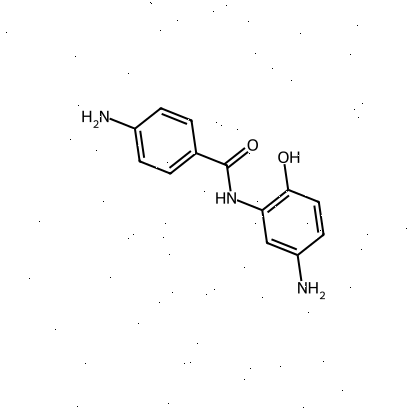 Nc1ccc(C(=O)Nc2cc(N)ccc2O)cc1